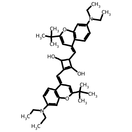 CCN(CC)c1ccc2c(c1)OC(C(C)(C)C)=C/C2=C\C1=C(O)C(/C=C2\C=C(C(C)(C)C)Oc3cc(N(CC)CC)ccc32)C1O